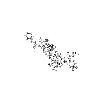 COC(=O)[C@@H](CN[C@]12CC[C@@H](C3(C)CC3)[C@@H]1[C@H]1CC[C@@H]3[C@]4(C)CC[C@H]([C@@]5(C(=O)O)C[C@@H](C(=O)OCc6ccccc6)C5(C)C)C(C)(C)[C@H]4CC[C@@]3(C)[C@]1(C)CC2)N1CCS(=O)(=O)CC1